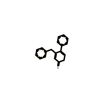 S=C1C=C(Cc2ccccc2)C(c2ccccc2)=CC1